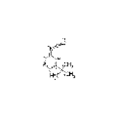 CC(C)(C)c1cccc(N=C=O)c1